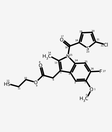 COc1cc2c(CC(=O)OCCS)c(C)n(C(=O)c3ccc(Cl)s3)c2cc1F